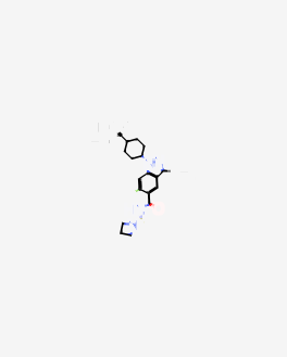 Cc1nn(C2CCC(C(C)(C)C)CC2)c2cc(F)c(C(=O)NSN3CCC3)cc12